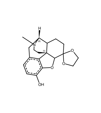 CN1CC[C@]23c4c5ccc(O)c4OC2C2(CCC3[C@H]1C5)OCCO2